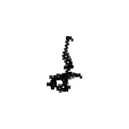 CCCCCCCCCc1ccc(-c2ccc(C(=O)NCCC(=O)N[C@@H](CCCCN)C(=O)N(C)[C@@H]3C(=O)N[C@@H](C)C(=O)N[C@H](C(=O)O)Cc4ccc(O)c(c4)-c4cc3ccc4O)nc2)cc1